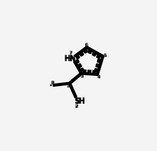 [CH2]C(S)c1ccc[nH]1